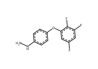 NNc1ccc(Oc2cc(F)cc(F)c2F)cc1